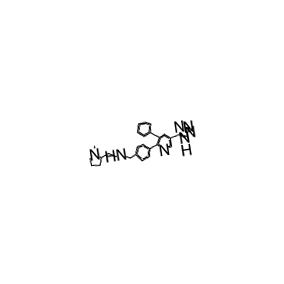 CN1CCCC1CCNCc1ccc(-c2ncc(-c3nnn[nH]3)cc2-c2ccccc2)cc1